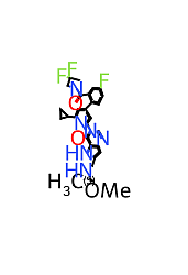 COC[C@H](C)NCc1cc2ncn(-c3cc(-c4ccc(F)cc4C(=O)N4CC(F)(F)C4)cc(C4CC4)n3)c(=O)c2[nH]1